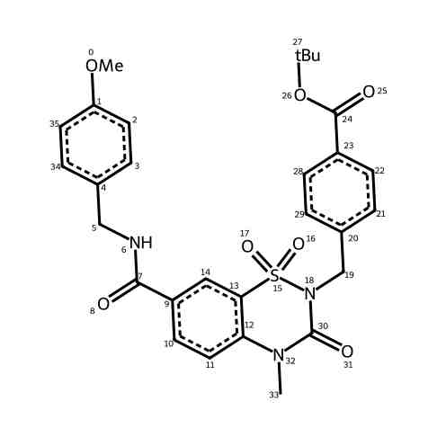 COc1ccc(CNC(=O)c2ccc3c(c2)S(=O)(=O)N(Cc2ccc(C(=O)OC(C)(C)C)cc2)C(=O)N3C)cc1